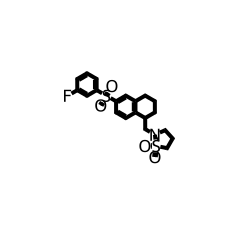 O=S(=O)(c1cccc(F)c1)c1ccc2c(c1)CCCC2CN1CCCS1(=O)=O